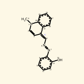 CN1C=C/C(=C\N=Nc2ccccc2O)c2ccccc21